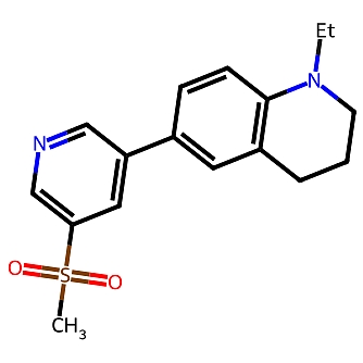 CCN1CCCc2cc(-c3cncc(S(C)(=O)=O)c3)ccc21